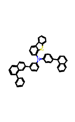 c1ccc(-c2cccc3ccc(-c4cccc(N(c5ccc(-c6cccc7ccccc67)cc5)c5cccc6c5sc5ccccc56)c4)cc23)cc1